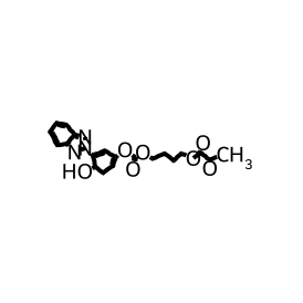 CC(=O)C(=O)OCCCCOC(=O)OC1=CCC(O)C(n2nc3ccccc3n2)=C1